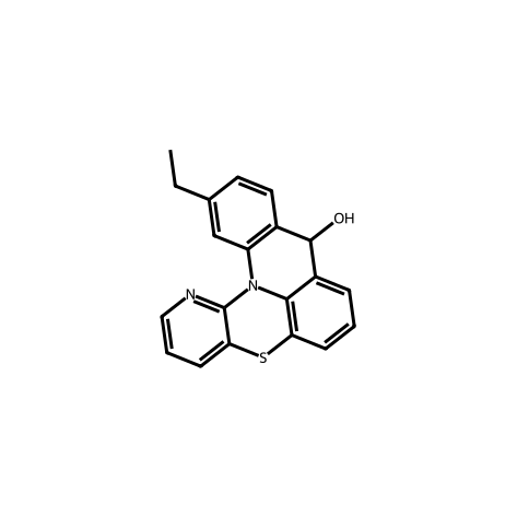 CCc1ccc2c(c1)N1c3ncccc3Sc3cccc(c31)C2O